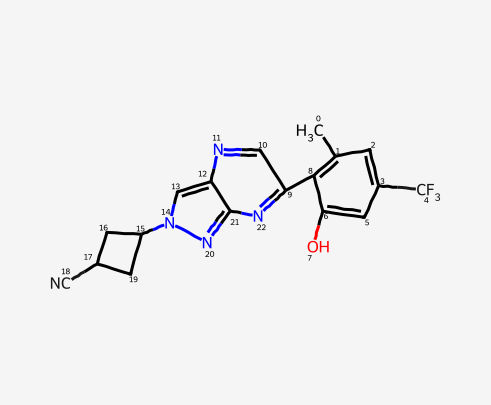 Cc1cc(C(F)(F)F)cc(O)c1-c1cnc2cn(C3CC(C#N)C3)nc2n1